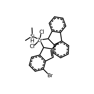 CC1=Cc2c(Br)cccc2[CH]1[Zr]([Cl])([Cl])([CH]1c2ccccc2-c2ccccc21)[SiH](C)C